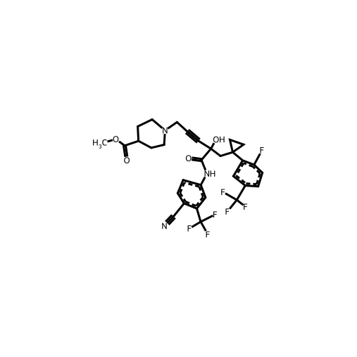 COC(=O)C1CCN(CC#CC(O)(CC2(c3cc(C(F)(F)F)ccc3F)CC2)C(=O)Nc2ccc(C#N)c(C(F)(F)F)c2)CC1